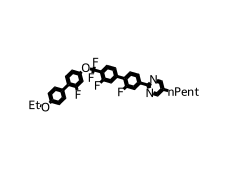 CCCCCc1cnc(-c2ccc(-c3ccc(C(F)(F)Oc4ccc(-c5ccc(OCC)cc5)c(F)c4)c(F)c3)c(F)c2)nc1